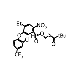 CCc1cc([N+](=O)[O-])c([PH](=O)OCSC(=O)C(C)(C)C)cc1Oc1ccc(C(F)(F)F)cc1Cl